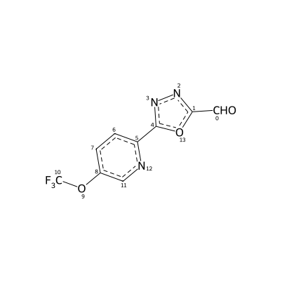 O=Cc1nnc(-c2ccc(OC(F)(F)F)cn2)o1